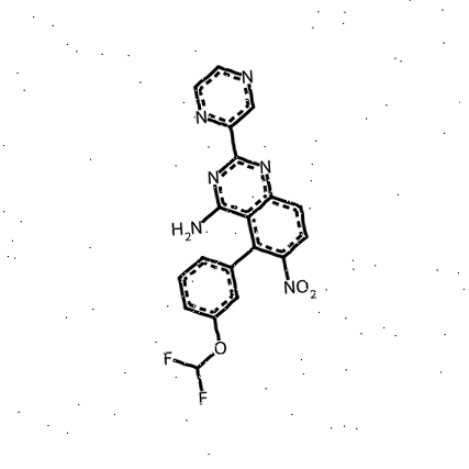 Nc1nc(-c2cnccn2)nc2ccc([N+](=O)[O-])c(-c3cccc(OC(F)F)c3)c12